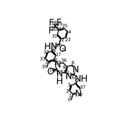 Cc1ccc(Nc2ncc3c(n2)NC(=O)N(c2cc(NC(=O)c4cccc(C(F)(F)F)c4)ccc2C)C3)cn1